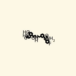 NC(=O)N(Cc1ccc(F)cc1)c1cccc(CCNCC(O)c2ccc(O)c3[nH]c(=O)ccc23)c1